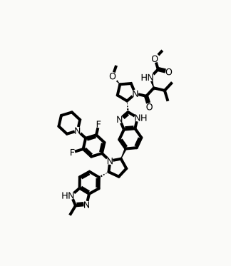 COC(=O)N[C@H](C(=O)N1C[C@@H](OC)C[C@H]1c1nc2cc([C@H]3CC[C@H](c4ccc5[nH]c(C)nc5c4)N3c3cc(F)c(N4CCCCC4)c(F)c3)ccc2[nH]1)C(C)C